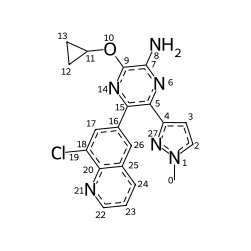 Cn1ccc(-c2nc(N)c(OC3CC3)nc2-c2cc(Cl)c3ncccc3c2)n1